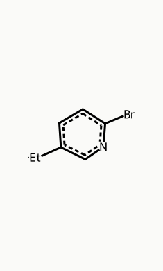 C[CH]c1ccc(Br)nc1